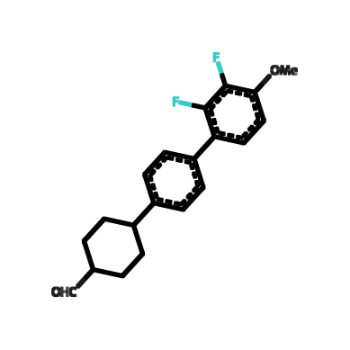 COc1ccc(-c2ccc(C3CCC(C=O)CC3)cc2)c(F)c1F